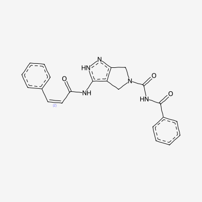 O=C(/C=C\c1ccccc1)Nc1[nH]nc2c1CN(C(=O)NC(=O)c1ccccc1)C2